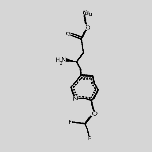 CC(C)(C)OC(=O)C[C@H](N)c1ccc(OC(F)F)nc1